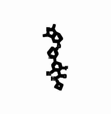 CCc1cc(-c2cc(Oc3ccc4c(C)nn(C)c4c3)ccn2)cc(F)c1C(=O)NC1CCC1